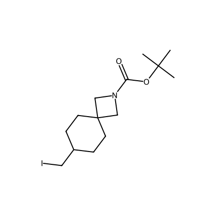 CC(C)(C)OC(=O)N1CC2(CCC(CI)CC2)C1